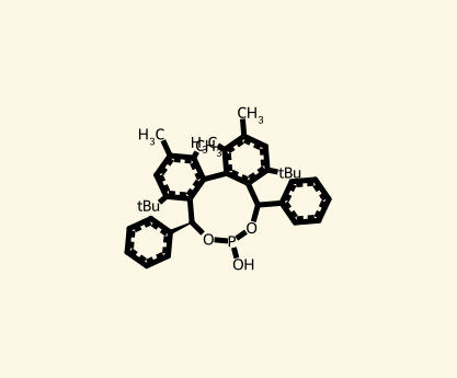 Cc1cc(C(C)(C)C)c2c(c1C)-c1c(C)c(C)cc(C(C)(C)C)c1[C@H](c1ccccc1)OP(O)OC2c1ccccc1